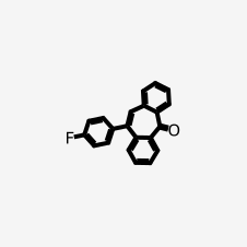 O=c1c2ccccc2cc(-c2ccc(F)cc2)c2ccccc12